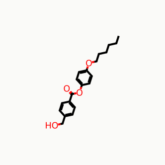 CCCCCCOc1ccc(OC(=O)c2ccc(CO)cc2)cc1